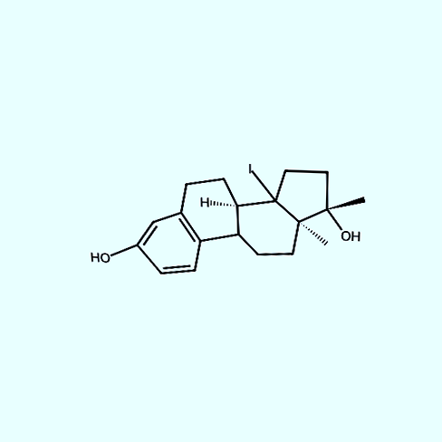 C[C@]1(O)CCC2(I)[C@@H]3CCc4cc(O)ccc4C3CC[C@@]21C